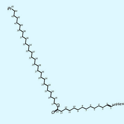 CCCCCCC=CCCCCCCCCCCCC(=O)OCCCCCCCCCCCCCCCCCCCCCCCCCCCCC(C)C